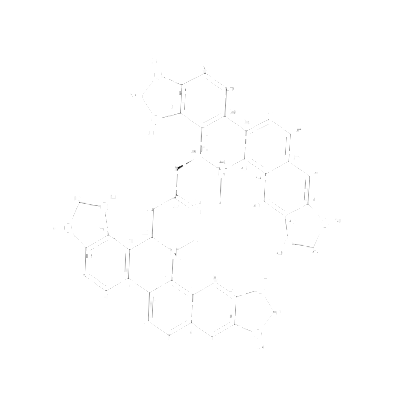 CN1c2c(ccc3cc4c(cc23)OCO4)-c2ccc3c(c2C1CC(=O)C[C@H]1c2c(ccc4c2OCO4)-c2ccc4cc5c(cc4c2N1C)OCO5)OCO3